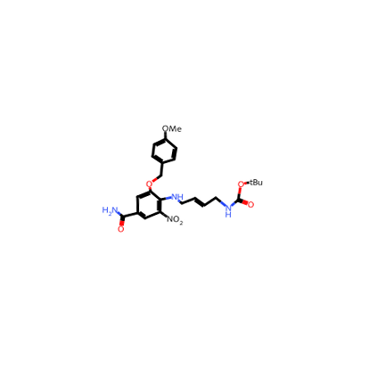 COc1ccc(COc2cc(C(N)=O)cc([N+](=O)[O-])c2NCC=CCNC(=O)OC(C)(C)C)cc1